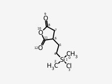 C[Si](C)(Cl)CCC1CC(=O)OC1=O